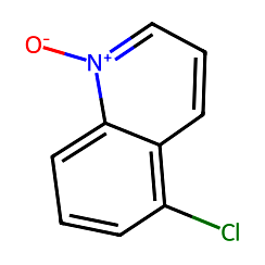 [O-][n+]1cccc2c(Cl)cccc21